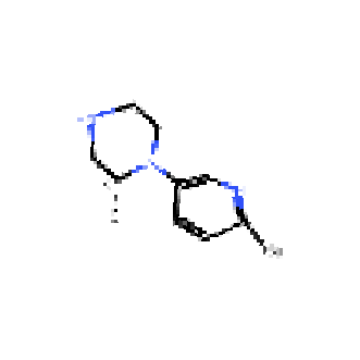 C[C@@H]1CNCCN1c1ccc(C(C)(C)C)nc1